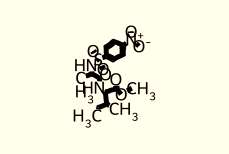 CCC(C)C(NC(=O)C(C)NS(=O)(=O)c1ccc([N+](=O)[O-])cc1)C(=O)OC